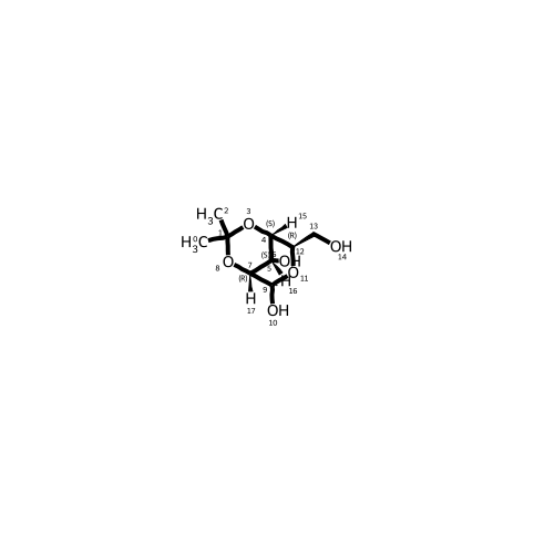 CC1(C)O[C@H]2[C@H](O)[C@@H](O1)[C](O)O[C@@H]2CO